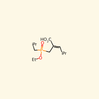 CCOP(=O)(C/C(=C\C(C)C)C(=O)O)CC(C)C